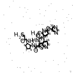 C=CC(=O)N[C@H]1CCC[C@H]1NC(=O)c1sc2nccc3c2c1NC(=O)N3c1ccc(Oc2cncnc2)nc1C